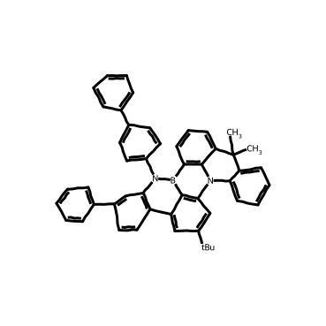 CC(C)(C)c1cc2c3c(c1)N1c4ccccc4C(C)(C)c4cccc(c41)B3N(c1ccc(-c3ccccc3)cc1)c1cc(-c3ccccc3)ccc1-2